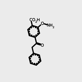 NOc1cc(C(=O)Cc2ccccc2)ccc1C(=O)O